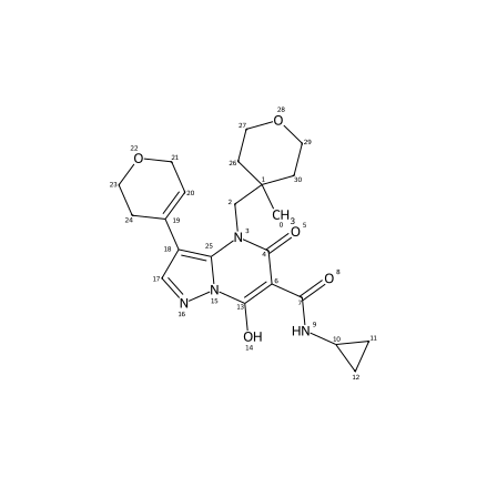 CC1(Cn2c(=O)c(C(=O)NC3CC3)c(O)n3ncc(C4=CCOCC4)c23)CCOCC1